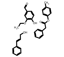 CCOc1cc(C=O)ccc1O.Cc1ccc(OC(=O)Cc2ccccc2)cc1.OCC=Cc1ccccc1